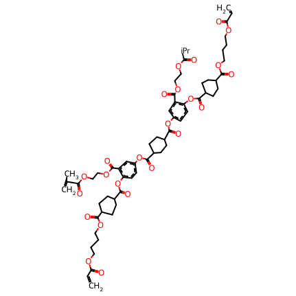 C=CC(=O)OCCCCOC(=O)C1CCC(C(=O)Oc2ccc(OC(=O)C3CCC(C(=O)Oc4ccc(OC(=O)C5CCC(C(=O)OCCCCOC(=O)C=C)CC5)c(C(=O)OCCOC(=O)C(C)C)c4)CC3)cc2C(=O)OCCOC(=O)C(=C)C)CC1